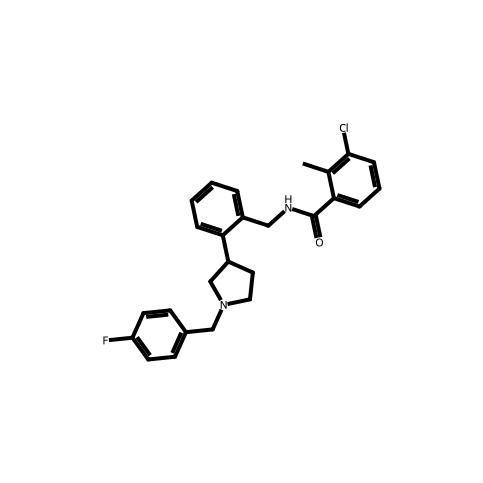 Cc1c(Cl)cccc1C(=O)NCc1ccccc1C1CCN(Cc2ccc(F)cc2)C1